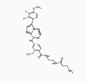 CCc1cc(Nc2nccn3c(-c4ccc(OC)c(F)c4F)cnc23)ccc1C(=O)NCCNC(=O)CCN